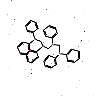 c1ccc(N(CN(CN(c2ccccc2)c2ccccc2)c2ccccc2)CN(c2ccccc2)c2ccccc2)cc1